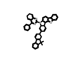 CC1(C)C2=C(C=CC(C3=CC4C(C=C3)c3c(ccc5c3oc3ccccc35)N4c3nc(-c4ccccc4)c4c(n3)=CCCC=4)C2)c2ccccc21